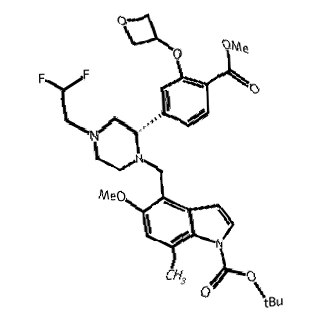 COC(=O)c1ccc([C@H]2CN(CC(F)F)CCN2Cc2c(OC)cc(C)c3c2ccn3C(=O)OC(C)(C)C)cc1OC1COC1